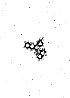 [O-][n+]1cccc(-c2nc3ccccc3cc2[C@@H](Nc2ncnc3cccnc23)C(F)(F)F)c1